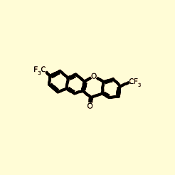 O=c1c2ccc(C(F)(F)F)cc2oc2cc3cc(C(F)(F)F)ccc3cc12